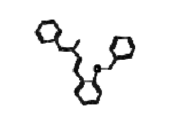 CC(C=Cc1ccccc1OCc1ccccc1)=Cc1ccccc1